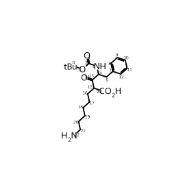 CC(C)(C)OC(=O)NC(Cc1ccccc1)C(=O)C(CCCCCCN)C(=O)O